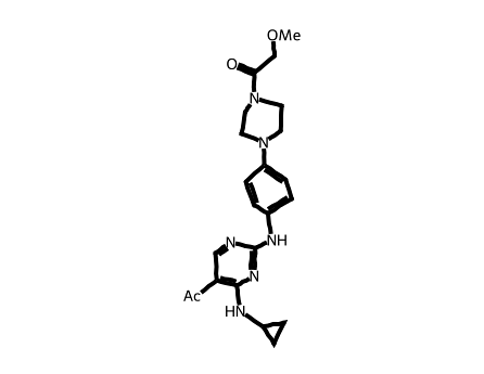 COCC(=O)N1CCN(c2ccc(Nc3ncc(C(C)=O)c(NC4CC4)n3)cc2)CC1